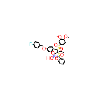 CCC(C(=O)NO)(C(c1ccc(OCc2ccc(F)cc2)cc1)S(=O)(=O)c1ccc(OC)c(OC)c1)S(=O)(=O)c1ccccc1